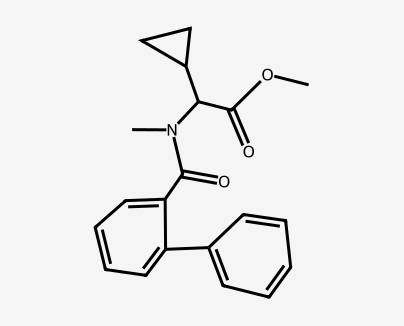 COC(=O)C(C1CC1)N(C)C(=O)c1ccccc1-c1ccccc1